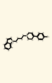 Fc1ccc(C2=CCN(CCCCn3ccc4ccccc43)CC2)cc1